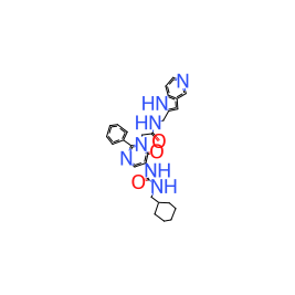 O=C(Cn1c(-c2ccccc2)ncc(NC(=O)NCC2CCCCC2)c1=O)NCc1cc2cnccc2[nH]1